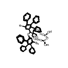 CC(C)(C)c1cc(OC(c2cc(C(C)(C)C)c(-c3ccccc3)c(-c3ccccc3)c2-c2ccccc2)C(CO)(CO)CO)c(-c2ccccc2)c(-c2ccccc2)c1-c1ccccc1.OP(O)OP(O)O